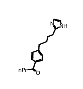 CCCC(=O)c1ccc(CCCCc2ncc[nH]2)cc1